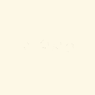 O=C(CC1CCCCC1)NCCc1ccc(S(=O)(=O)NC(=O)c2ccc(C(=O)O)nc2)cc1